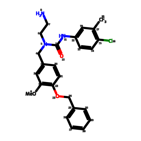 COc1cc(CN(CCN)C(=O)Nc2ccc(Cl)c(C(F)(F)F)c2)ccc1OCc1ccccc1